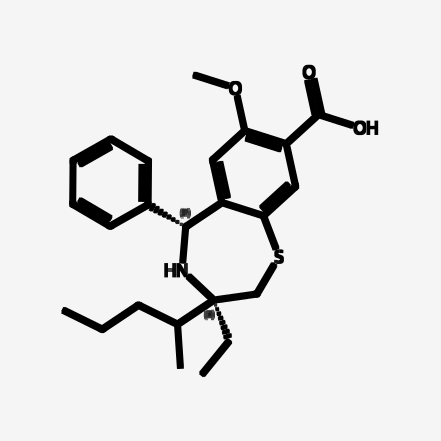 CCCC(C)[C@]1(CC)CSc2cc(C(=O)O)c(OC)cc2[C@@H](c2ccccc2)N1